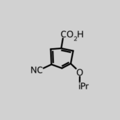 CC(C)Oc1cc(C#N)cc(C(=O)O)c1